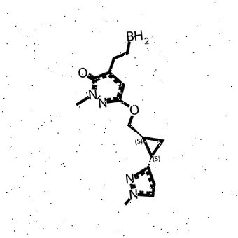 BCCc1cc(OC[C@H]2C[C@@H]2c2ccn(C)n2)nn(C)c1=O